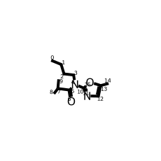 CCCCN(C(=O)C(C)C)c1ncc(C)o1